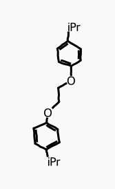 CC(C)c1ccc(OCCOc2ccc(C(C)C)cc2)cc1